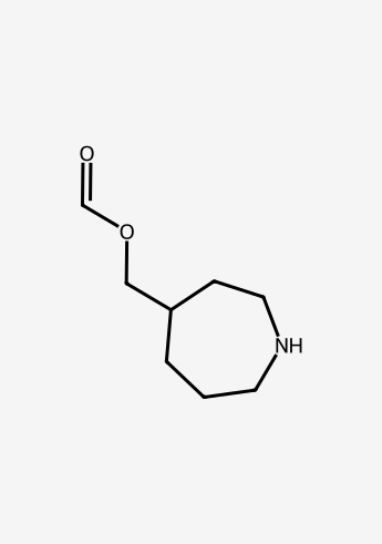 O=COCC1CCCNCC1